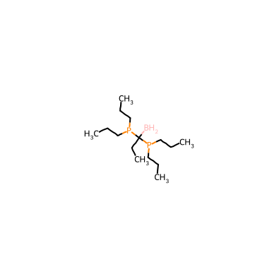 BC(CC)(P(CCC)CCC)P(CCC)CCC